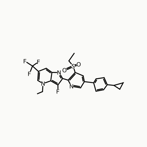 CCn1cc(C(F)(F)F)cc2nc(-c3ncc(-c4ccc(C5CC5)cc4)cc3S(=O)(=O)CC)c(F)c1-2